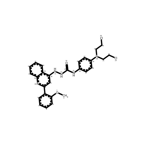 COc1ccccc1-c1cc(NNC(=O)Nc2ccc(N(CCCl)CCCl)cc2)c2ccccc2n1